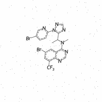 CC(c1ncnn1-c1ccc(Br)cn1)N(C)c1ncnc2c(C(F)(F)F)cc(Br)cc12